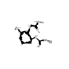 CCCCCCCC(=O)Oc1cccc(CC)c1OC(=O)CCCCCCC